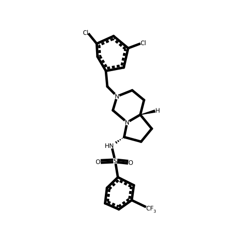 O=S(=O)(N[C@H]1CC[C@H]2CCN(Cc3cc(Cl)cc(Cl)c3)CN21)c1cccc(C(F)(F)F)c1